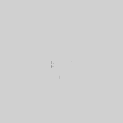 [CH3][Zr+2]([C]1=CC=CC1)[c]1cc2ccccc2[nH]1.[Cl-].[Cl-]